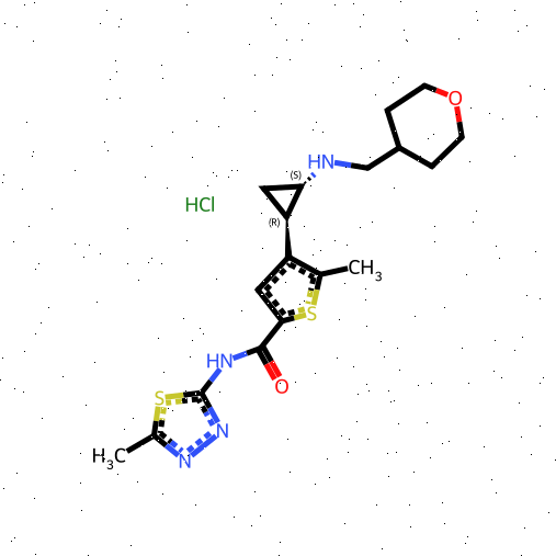 Cc1nnc(NC(=O)c2cc([C@H]3C[C@@H]3NCC3CCOCC3)c(C)s2)s1.Cl